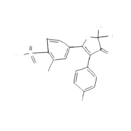 CC1(C)OC(c2ccc(S(C)(=O)=O)c(Br)c2)=C(c2ccc(F)cc2)C1=O